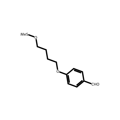 CSOCCCCOc1ccc(C=O)cc1